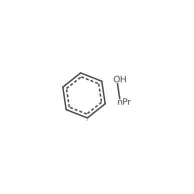 [CH2]CCO.[c]1ccccc1